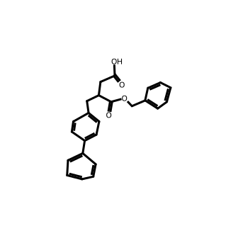 O=C(O)CC(Cc1ccc(-c2ccccc2)cc1)C(=O)OCc1ccccc1